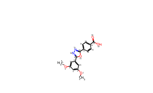 COc1cc(OC)cc(-c2nnc(-c3ccc(C(=O)O)cc3)o2)c1